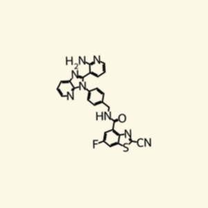 N#Cc1nc2c(C(=O)NCc3ccc(-n4c(-c5cccnc5N)nc5cccnc54)cc3)cc(F)cc2s1